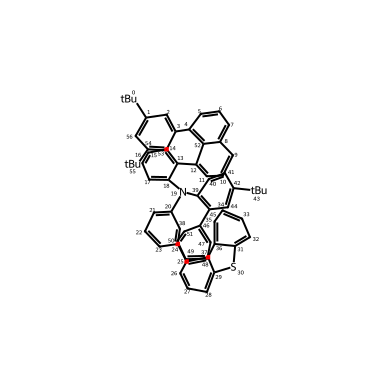 CC(C)(C)c1cc(-c2cccc3cccc(-c4ccccc4N(c4cccc(-c5cccc6sc7ccccc7c56)c4)c4ccc(C(C)(C)C)cc4-c4ccccc4)c23)cc(C(C)(C)C)c1